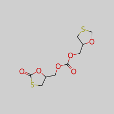 O=C(OCC1CSCO1)OCC1CSC(=O)O1